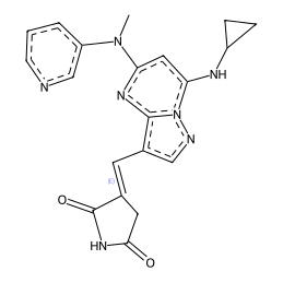 CN(c1cccnc1)c1cc(NC2CC2)n2ncc(/C=C3\CC(=O)NC3=O)c2n1